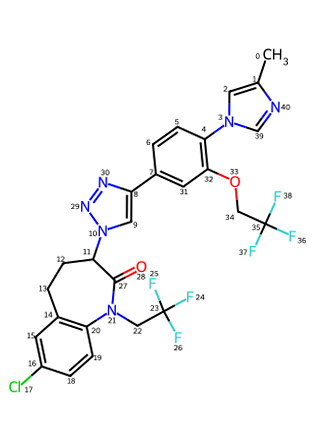 Cc1cn(-c2ccc(-c3cn(C4CCc5cc(Cl)ccc5N(CC(F)(F)F)C4=O)nn3)cc2OCC(F)(F)F)cn1